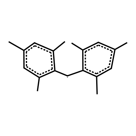 Cc1cc(C)c([CH]c2c(C)cc(C)cc2C)c(C)c1